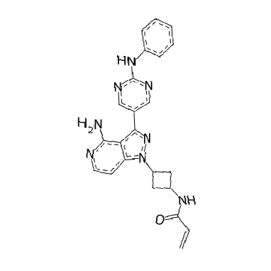 C=CC(=O)NC1CC(n2nc(-c3cnc(Nc4ccccc4)nc3)c3c(N)nccc32)C1